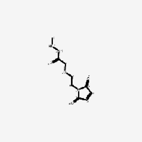 CNNC(=O)COCCN1C(=O)C=CC1=O